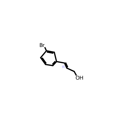 OC/C=C/c1cccc(Br)c1